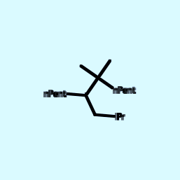 CCCCC[C](CC(C)C)C(C)(C)CCCCC